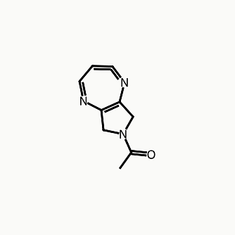 CC(=O)N1CC2=C(C1)N=CC=C=N2